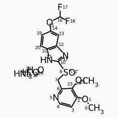 COc1ccnc(C[S@+]([O-])c2nc3cc(OC(F)F)ccc3[nH]2)c1OC.O.O.[NaH]